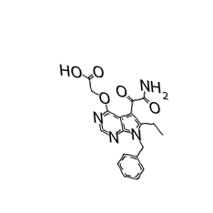 CCc1c(C(=O)C(N)=O)c2c(OCC(=O)O)ncnc2n1Cc1ccccc1